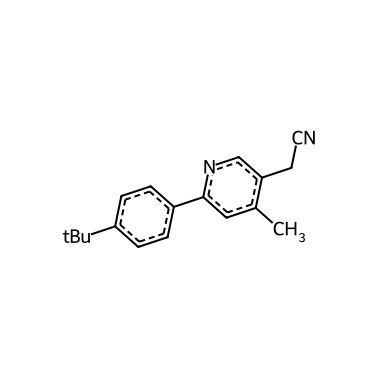 Cc1cc(-c2ccc(C(C)(C)C)cc2)ncc1CC#N